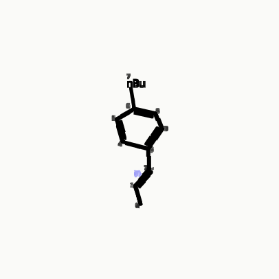 C/C=[C]/c1ccc(CCCC)cc1